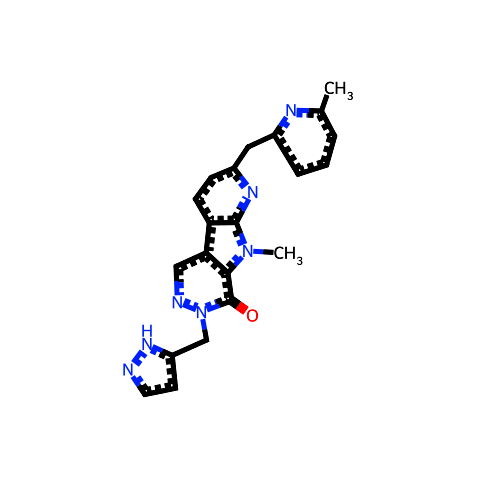 Cc1cccc(Cc2ccc3c4cnn(Cc5ccn[nH]5)c(=O)c4n(C)c3n2)n1